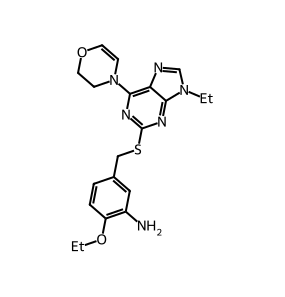 CCOc1ccc(CSc2nc(N3C=COCC3)c3ncn(CC)c3n2)cc1N